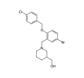 OCC1CCCN(Cc2cc(Br)ccc2OCc2ccc(Cl)cc2)C1